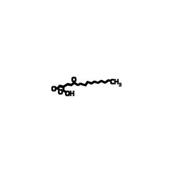 CCCCCCCCCCCC(=O)C=CC1=CC(=O)OC1O